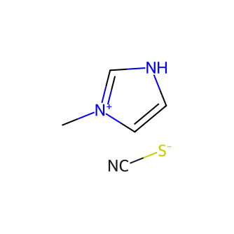 C[n+]1cc[nH]c1.N#C[S-]